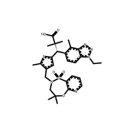 CCn1nnc2c(C)c([C@H](c3cc(CN4CC(C)(C)Oc5ncccc5S4(=O)=O)c(C)s3)C(C)(C)C(=O)O)ccc21